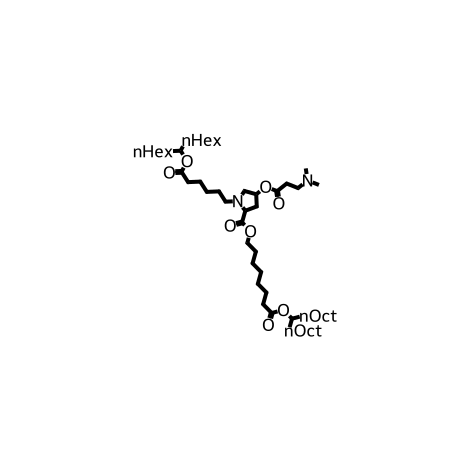 CCCCCCCCC(CCCCCCCC)OC(=O)CCCCCCCOC(=O)C1CC(OC(=O)CCN(C)C)CN1CCCCCC(=O)OC(CCCCCC)CCCCCC